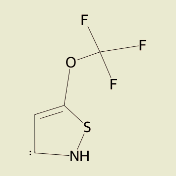 FC(F)(F)OC1=C[C]NS1